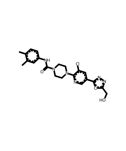 Cc1ccc(NC(=O)N2CCN(c3ncc(-c4nnc(CO)o4)cc3Cl)CC2)cc1C